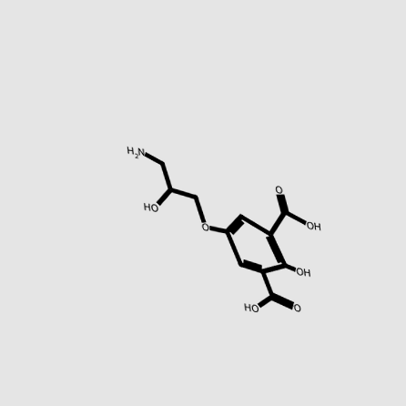 NCC(O)COc1cc(C(=O)O)c(O)c(C(=O)O)c1